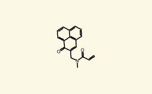 C=CC(=O)N(C)CC1=Cc2cccc3cccc(c23)C1=O